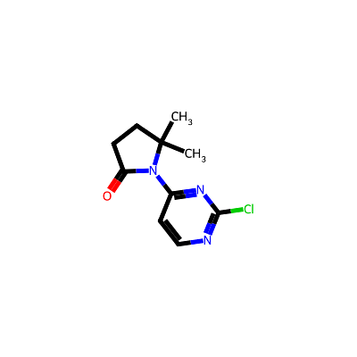 CC1(C)CCC(=O)N1c1ccnc(Cl)n1